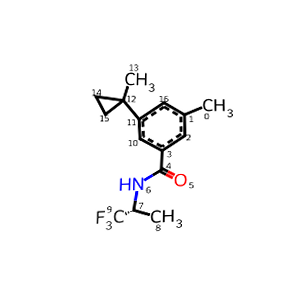 Cc1cc(C(=O)N[C@H](C)C(F)(F)F)cc(C2(C)CC2)c1